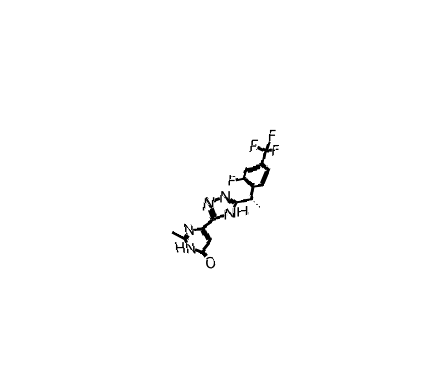 Cc1nc(-c2nnc([C@@H](C)c3ccc(C(F)(F)F)cc3F)[nH]2)cc(=O)[nH]1